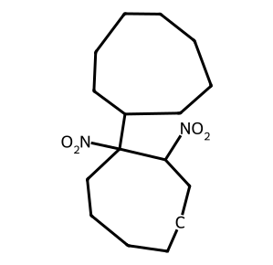 O=[N+]([O-])C1CCCCCCC1(C1CCCCCCC1)[N+](=O)[O-]